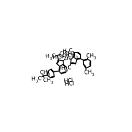 CC1=Cc2c(-c3cc(C)ccc3C)ccc(C)c2[CH]1[Zr]([CH3])([CH3])(=[SiH2])[CH]1C(C(C)C)=Cc2c(-c3ccc(C(C)(C)C)cc3)cccc21.Cl.Cl